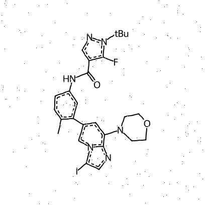 Cc1ccc(NC(=O)c2cnn(C(C)(C)C)c2F)cc1-c1cc(N2CCOCC2)c2ncc(I)n2c1